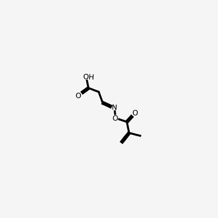 C=C(C)C(=O)ON=CCC(=O)O